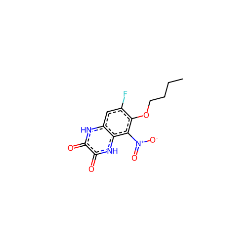 CCCCOc1c(F)cc2[nH]c(=O)c(=O)[nH]c2c1[N+](=O)[O-]